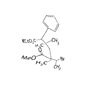 CCOC(=O)C(c1ccccc1)C(C)(C)CC(C)(C(=O)OC)C(C)Br